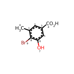 Cc1cc(C(=O)O)cc(O)c1Br